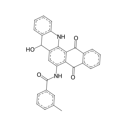 Cc1cccc(C(=O)Nc2cc3c(c4c2C(=O)c2ccccc2C4=O)Nc2ccccc2C3O)c1